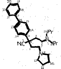 CC(C)N(CCC(C#N)(CCN1CCCC1)c1ccc(-c2ccccc2)cc1)C(C)C